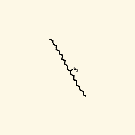 CCCCCCCCCCCCCC(CCCCCCCCCC)N=O